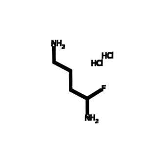 Cl.Cl.NCCCC(N)F